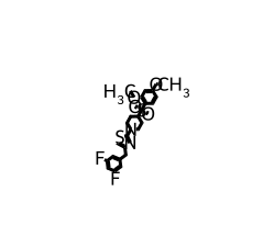 COc1ccc(S(=O)(=O)C2CCN(c3nc(Cc4cc(F)cc(F)c4)cs3)CC2)c(OC)c1